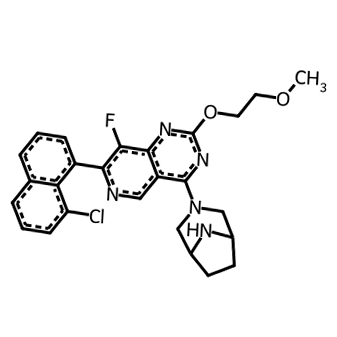 COCCOc1nc(N2CC3CCC(C2)N3)c2cnc(-c3cccc4cccc(Cl)c34)c(F)c2n1